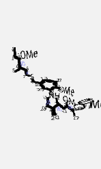 C=C/C(OC)=C(C)/C=C/SCc1ccc(OC)c(N/C=C\C(=C)/C(C)=C/C(OC)=C(\C)OC)c1